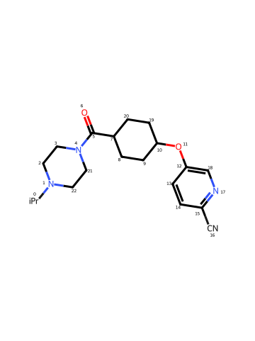 CC(C)N1CCN(C(=O)C2CCC(Oc3ccc(C#N)nc3)CC2)CC1